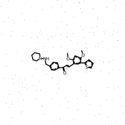 COc1cc(OC)c(-c2cccs2)cc1/C=C/C(=O)c1ccc(CNN2CCCCC2)cc1